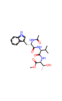 COC(=O)[C@@H](NC(=O)[C@@H](NC(=O)[C@H](Cc1c[nH]c2ccccc12)NC(C)=O)C(C)C)[C@@H](C)O